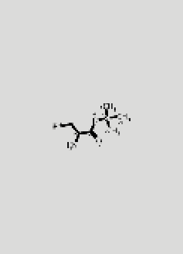 CC(C)CC(N)C(=O)O[Si](C)(C)C